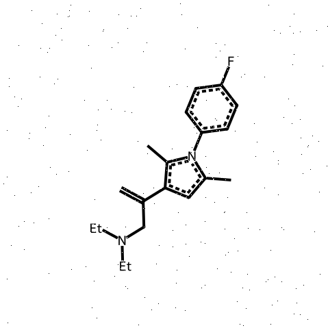 C=C(CN(CC)CC)c1cc(C)n(-c2ccc(F)cc2)c1C